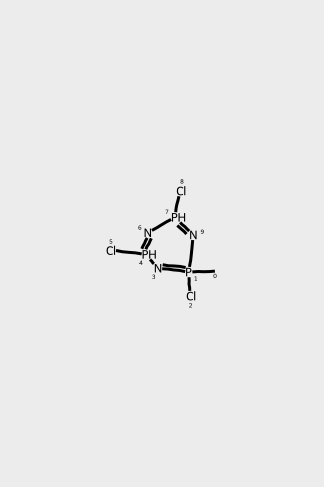 CP1(Cl)=N[PH](Cl)=N[PH](Cl)=N1